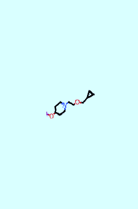 IOC1CCN(CCOCC2CC2)CC1